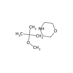 C1COCCN1.COC(C)(C)C